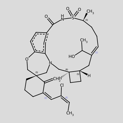 C=C1/C(=C\C(Cl)=C/C)CCC[C@]12COc1ccc3cc1N(C[C@@H]1CC[C@H]1C/C(C(C)O)=C/CC[C@H](C)S(=O)(=O)NC3=O)C2